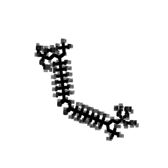 CO[Si](CCC(CC(F)(F)F)C(F)(F)C(F)(F)C(F)(F)C(F)(F)C(F)(F)C(F)(F)C(=O)SC(=O)C(F)(F)C(F)(F)C(F)(F)C(F)(F)C(F)(F)C(F)(F)C(CC[Si](OC)(OC)OC)CC(F)(F)F)(OC)OC